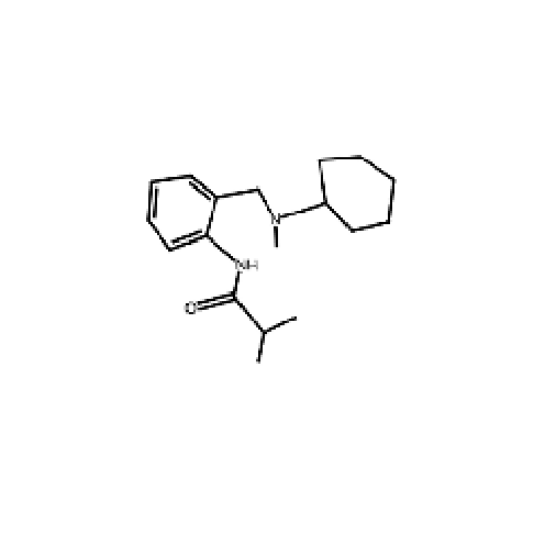 CC(C)C(=O)Nc1ccccc1CN(C)C1CCCCC1